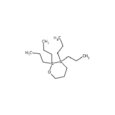 CCC[Si]1(CCC)CCCO[Si]1(CCC)CCC